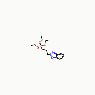 CCO[Si](CCCn1nc2ccccc2n1)(OCC)OCC